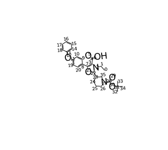 CCN1C(C(=O)O)=C(c2ccc(Oc3ccccc3)cc2)OC1C1CCCN(C(=O)OC(C)(C)C)C1